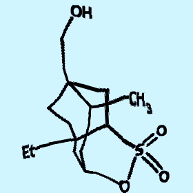 CCC12CC3(CO)CC1S(=O)(=O)OC2C3C